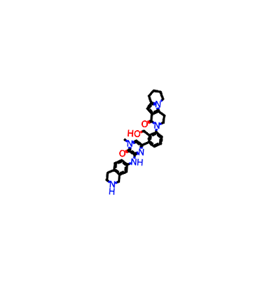 Cn1cc(-c2cccc(N3CCc4c(cc5n4CCCC5)C3=O)c2CO)nc(Nc2ccc3c(c2)CNCC3)c1=O